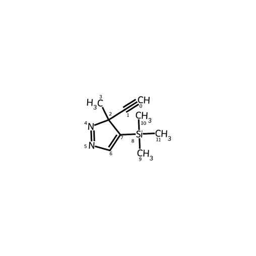 C#CC1(C)N=NC=C1[Si](C)(C)C